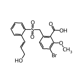 COc1c(Br)ccc(CS(=O)(=O)c2ccccc2C=CCO)c1C(=O)O